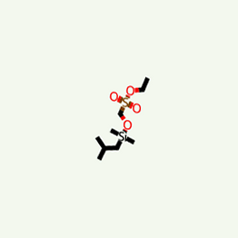 CCOS(=O)(=O)CO[Si](C)(C)CC(C)C